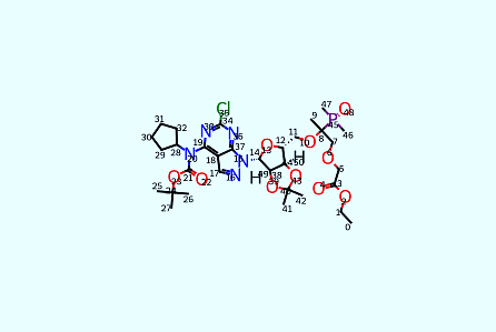 CCOC(=O)COCC(C)(OC[C@H]1O[C@@H](n2ncc3c(N(C(=O)OC(C)(C)C)C4CCCC4)nc(Cl)nc32)[C@@H]2OC(C)(C)O[C@@H]21)P(C)(C)=O